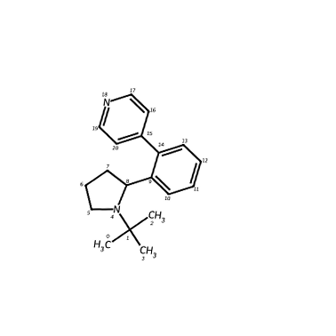 CC(C)(C)N1CCCC1c1ccccc1-c1ccncc1